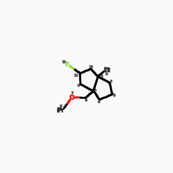 CCC12CCCC1(COC(C)C)CC(F)C2